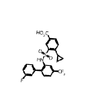 O=C(O)c1ccc(C2CC2)c(S(=O)(=O)Nc2cc(C(F)(F)F)ccc2-c2cccc(F)c2)c1